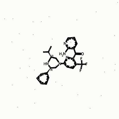 CC(C)[C@H]1CN(c2ccc(C(F)(F)F)c(C(=O)c3cccnc3N)n2)C[C@@H](c2ccccc2)N1